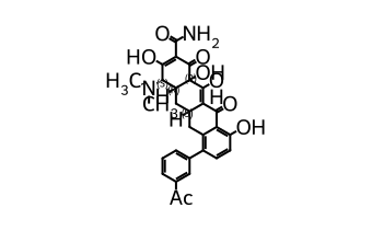 CC(=O)c1cccc(-c2ccc(O)c3c2C[C@@H]2C[C@@H]4[C@H](N(C)C)C(O)=C(C(N)=O)C(=O)[C@]4(O)C(O)=C2C3=O)c1